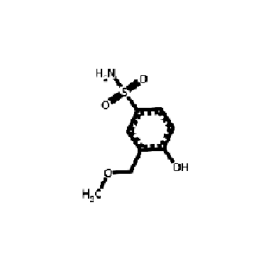 COCc1cc(S(N)(=O)=O)ccc1O